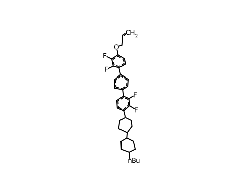 C=CCOc1ccc(-c2ccc(-c3ccc(C4CCC(C5CCC(CCCC)CC5)CC4)c(F)c3F)cc2)c(F)c1F